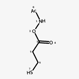 CC(=O)NOC(=O)CCS